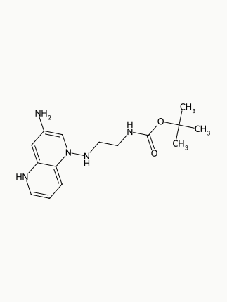 CC(C)(C)OC(=O)NCCNN1C=C(N)C=C2NC=CC=C21